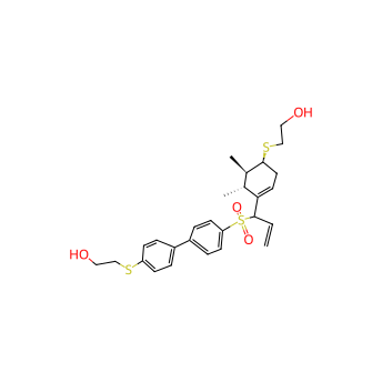 C=CC(C1=CC[C@H](SCCO)[C@H](C)[C@H]1C)S(=O)(=O)c1ccc(-c2ccc(SCCO)cc2)cc1